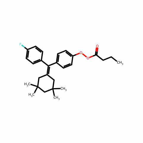 CCCC(=O)OOc1ccc(C(=C2CC(C)(C)CC(C)(C)C2)c2ccc(F)cc2)cc1